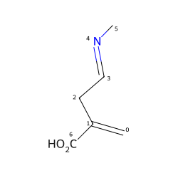 C=C(CC=NC)C(=O)O